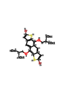 CCCCCCCCCCC(CCCCCCCC)COc1c2cc3cc(Br)sc3c(OCC(CCCCCCCC)CCCCCCCCCC)c2cc2cc(Br)sc12